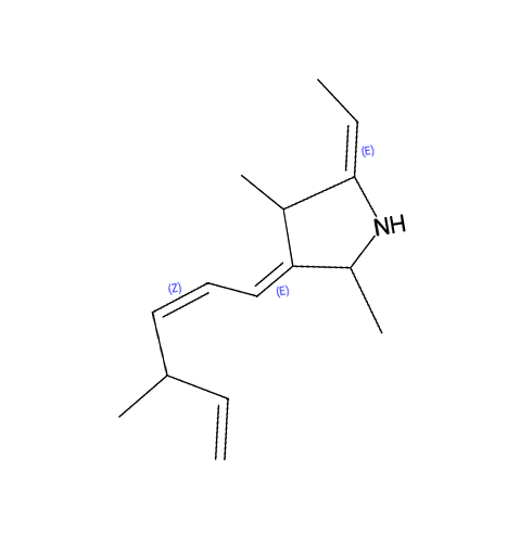 C=CC(C)/C=C\C=C1\C(C)N/C(=C/C)C1C